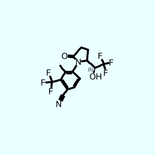 Cc1c(N2C(=O)CCC2[C@H](O)C(F)(F)F)ccc(C#N)c1C(F)(F)F